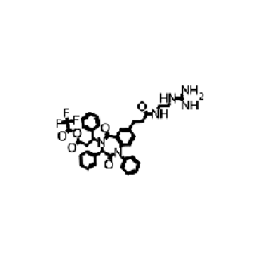 N=C(N)NCCNC(=O)CCc1ccc2c(c1)C(=O)N(C(CC(=O)OC(=O)C(F)(F)F)c1ccccc1)C(c1ccccc1)C(=O)N2c1ccccc1